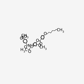 CCCCCCCOc1ccc(C(=O)Oc2ccc(CC(NC(=O)c3ccc(S(C)(=O)=O)cc3)C(C)=O)cc2OC)cc1